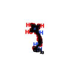 CN[C@@H](CCCCNC(=O)c1ccc(OC(=O)OCCOCCNC(=O)CN2CCN(CC(=O)O)CCN(CC(=O)O)CCN(CC(=O)O)CC2)cc1)C(C)=O